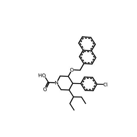 CCC(CC)C1CN(C(=O)O)CC(OCc2ccc3ccccc3c2)C1c1ccc(Cl)cc1